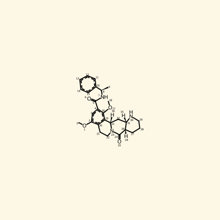 COc1cc(C(=O)N[C@H](C)c2ccccc2)c(OC)c2c1CCN1C(=O)[C@H]3CCCN[C@H]3C[C@@H]21